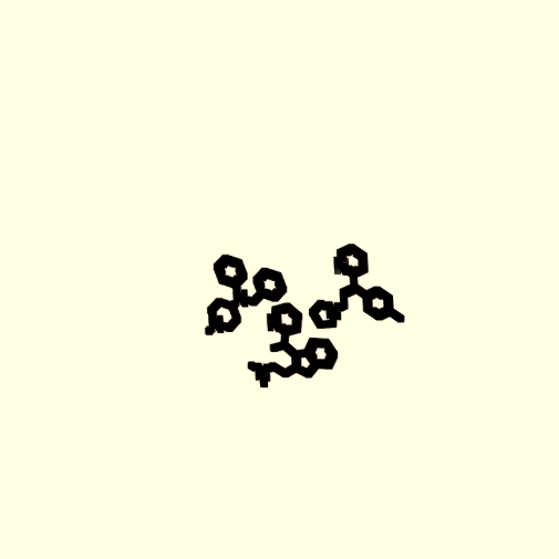 CC(C1=C(CCN(C)C)Cc2ccccc21)c1ccccn1.CN1CCC(N(Cc2ccccc2)c2ccccc2)CC1.Cc1ccc(/C(=C\CN2CCCC2)c2ccccn2)cc1